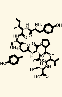 CC[C@H](C)[C@H](NC(=O)[C@@H](N)Cc1ccc(O)cc1)C(=O)N[C@@H](CO)C(=O)N[C@@H](Cc1ccc(O)cc1)C(=O)N[C@@H](CC(=O)O)C(=O)N1CCC[C@H]1C(=O)N[C@H](C(=O)N[C@@H](CS)C(=O)O)C(C)C